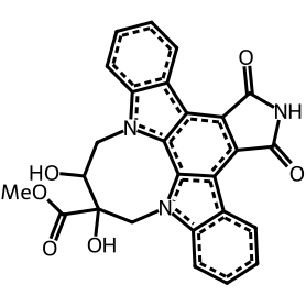 COC(=O)C1(O)Cn2c3ccccc3c3c4c(c5c6ccccc6n(c5c32)CC1O)C(=O)NC4=O